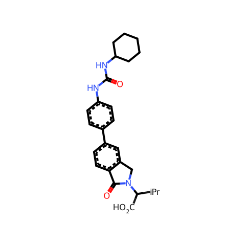 CC(C)C(C(=O)O)N1Cc2cc(-c3ccc(NC(=O)NC4CCCCC4)cc3)ccc2C1=O